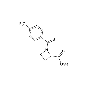 COC(=O)C1CCN1C(=S)c1ccc(C(F)(F)F)cc1